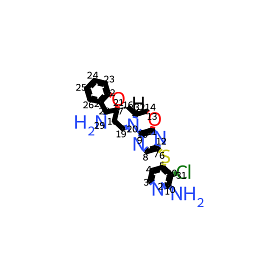 Nc1nccc(Sc2cnc3c(n2)OC[C@H]2C[C@@]4(CCN32)Oc2ccccc2[C@@H]4N)c1Cl